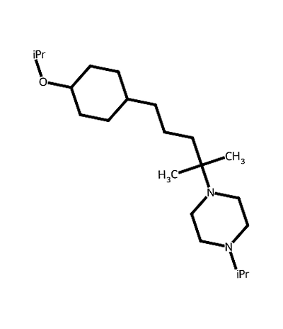 CC(C)OC1CCC(CCCC(C)(C)N2CCN(C(C)C)CC2)CC1